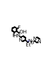 CC/C(=N\Oc1cnccn1)c1ccc(NC(O)c2c(F)cccc2F)nc1